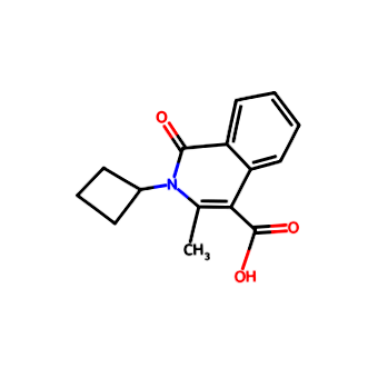 Cc1c(C(=O)O)c2ccccc2c(=O)n1C1CCC1